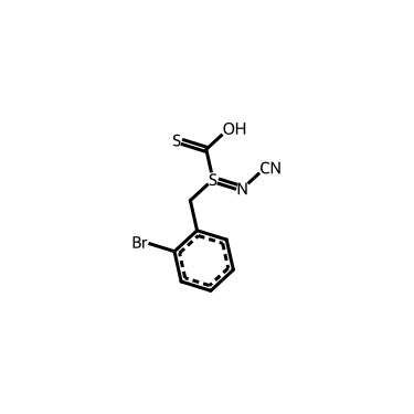 N#CN=S(Cc1ccccc1Br)C(O)=S